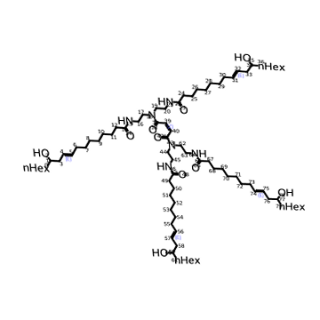 CCCCCCC(O)C/C=C/CCCCCCCC(=O)NCCN(CCNC(=O)CCCCCCC/C=C/CC(O)CCCCCC)C(=O)/C=C\C(=O)N(CCNC(=O)CCCCCCC/C=C/CC(O)CCCCCC)CCNC(=O)CCCCCCC/C=C/CC(O)CCCCCC